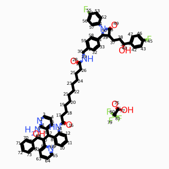 Nc1ncccc1C(c1ccccc1NC(=O)CCCCCCCCCCC(=O)NCc1ccc(C2C(CCC(O)c3ccc(F)cc3)C(=O)N2c2ccc(F)cc2)cc1)C(c1ccccn1)C(O)c1ccccc1.O=C(O)C(F)(F)F